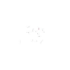 Cl.NC(=O)N1c2ccccc2CC(=O)c2ccccc21